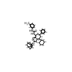 Cc1cccc(NC(=O)NC2CC(c3ccccc3)CC(C3CCCCC3)N(CC(=O)OC34CC5CC(CC(C5)C3)C4)C2=O)c1